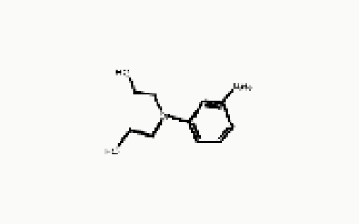 CNc1cccc(N(CCO)CCO)c1